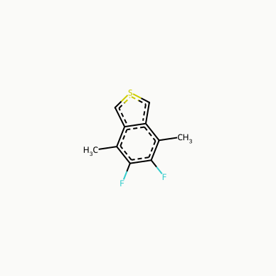 Cc1c(F)c(F)c(C)c2cscc12